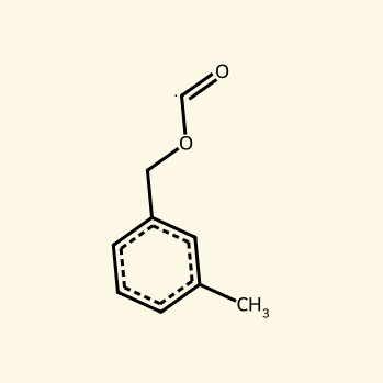 Cc1cccc(CO[C]=O)c1